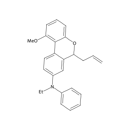 C=CCC1Oc2cccc(OC)c2-c2ccc(N(CC)c3ccccc3)cc21